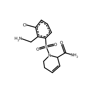 NCc1c(Cl)cccc1S(=O)(=O)N1CCC=CC1C(N)=O